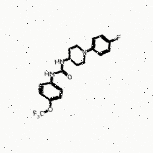 O=C(Nc1ccc(OC(F)(F)F)cc1)NC1CCN(c2ccc(F)cc2)CC1